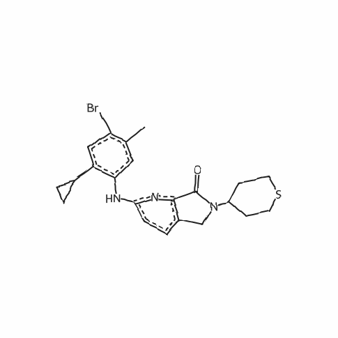 Cc1cc(Nc2ccc3c(n2)C(=O)N(C2CCSCC2)C3)c(C2CC2)cc1Br